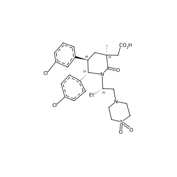 CC[C@@H](CN1CCS(=O)(=O)CC1)N1C(=O)[C@](C)(CC(=O)O)C[C@H](c2cccc(Cl)c2)[C@H]1c1ccc(Cl)cc1